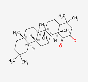 CC1(C)CC[C@]2(C)CC[C@]3(C)[C@H](CC[C@@H]4[C@@]5(C)C(=O)C(=O)CC(C)(C)C5CC[C@]43C)[C@H]2C1